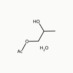 CC(=O)OCC(C)O.O